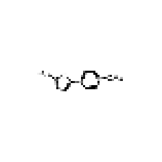 COc1ccc(-c2ccc(C(C)(C)C)o2)cc1